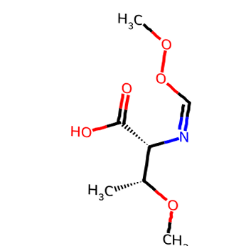 COO/C=N\[C@@H](C(=O)O)[C@@H](C)OC